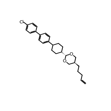 C=CCCC[C@H]1CO[C@H](C2CCC(c3ccc(-c4ccc(Cl)cc4)cc3)CC2)OC1